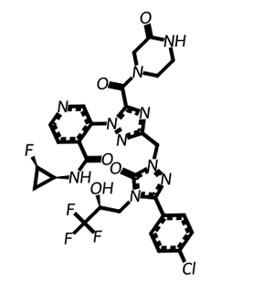 O=C1CN(C(=O)c2nc(Cn3nc(-c4ccc(Cl)cc4)n(C[C@H](O)C(F)(F)F)c3=O)nn2-c2cnccc2C(=O)N[C@H]2C[C@H]2F)CCN1